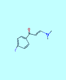 CN(C)/C=C/C(=O)c1ccc(I)cc1